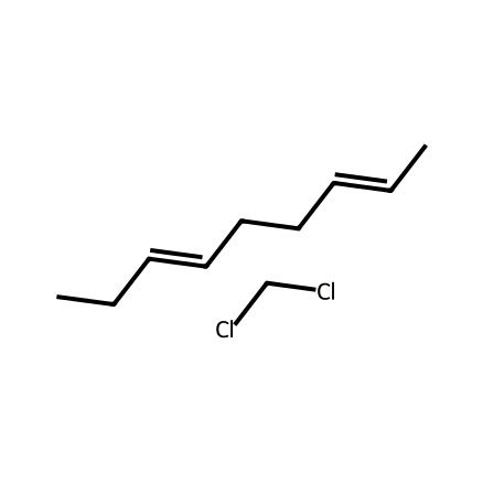 CC=CCCC=CCC.ClCCl